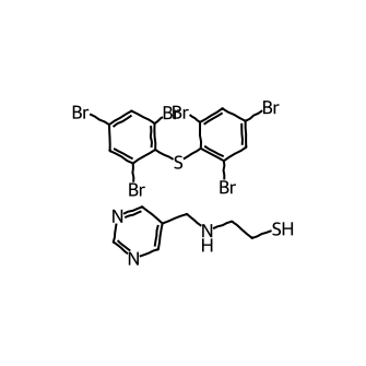 Brc1cc(Br)c(Sc2c(Br)cc(Br)cc2Br)c(Br)c1.SCCNCc1cncnc1